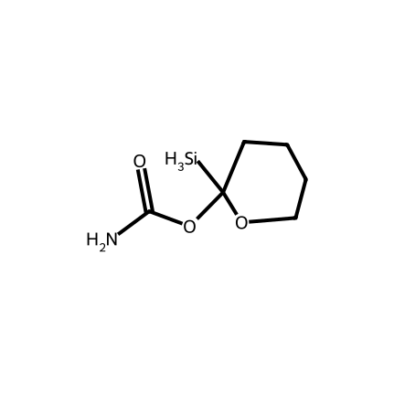 NC(=O)OC1([SiH3])CCCCO1